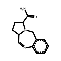 NC(=O)C1CCC2C=Nc3ccccc3CN21